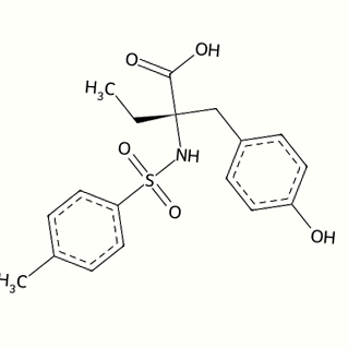 CC[C@@](Cc1ccc(O)cc1)(NS(=O)(=O)c1ccc(C)cc1)C(=O)O